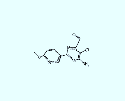 COc1ccc(-c2nc(N)c(Cl)c(C=O)n2)cn1